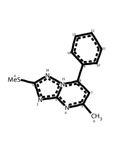 CSc1nc2nc(C)cc(-c3ccccc3)n2n1